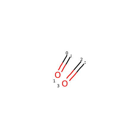 [C]=O.[C]=O